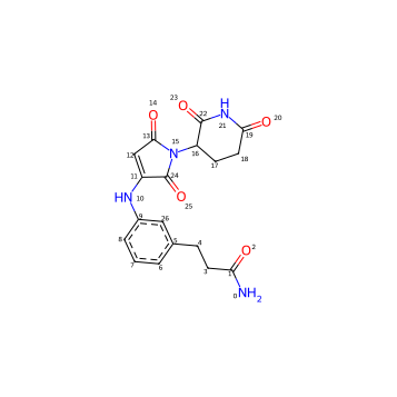 NC(=O)CCc1cccc(NC2=CC(=O)N(C3CCC(=O)NC3=O)C2=O)c1